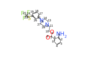 Nc1ccccc1C(=O)OCCN1CCN(c2cccc(SC(F)(F)F)c2)CC1